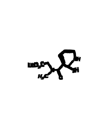 CCOC(=O)CN(C)C(=O)C1=CC=CNC1S